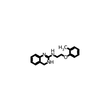 Cc1ccccc1OCCNC1=Nc2ccccc2CN1